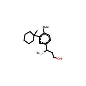 COc1ccc(C(CCO)C(=O)O)cc1C1(C)CCCCC1